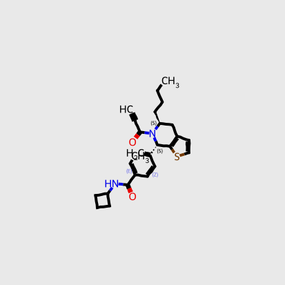 C#CC(=O)N1[C@@H](CCCC)Cc2ccsc2[C@@H]1C(=C)/C=C\C(=C/C)C(=O)NC1CCC1